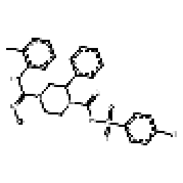 Cc1ccccc1N/C(=N/C#N)N1CCN(C(=O)NS(=O)(=O)c2ccc(Cl)cc2)C(c2ccccc2)C1